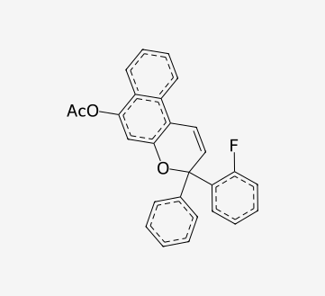 CC(=O)Oc1cc2c(c3ccccc13)C=CC(c1ccccc1)(c1ccccc1F)O2